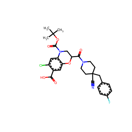 CC(C)(C)OC(=O)N1CC(C(=O)N2CCC(C#N)(Cc3ccc(F)cc3)CC2)Oc2cc(C(=O)O)c(Cl)cc21